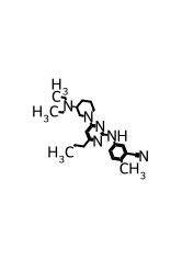 CCCc1cc(N2CCC[C@H](N(CC)CC)C2)nc(Nc2ccc(C)c(C#N)c2)n1